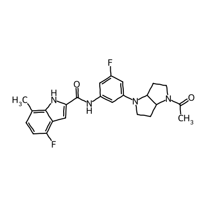 CC(=O)N1CCC2C1CCN2c1cc(F)cc(NC(=O)c2cc3c(F)ccc(C)c3[nH]2)c1